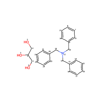 OCC(O)CO.c1ccc(CN(Cc2ccccc2)Cc2ccccc2)cc1